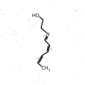 C\C=C/C=C\C=N\CCO